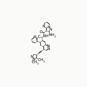 Cc1c(C#Cc2cnnc3cc(C(C)NC(=O)c4c(N)nn5cccnc45)c(-c4ccccc4)cc23)cnn1C